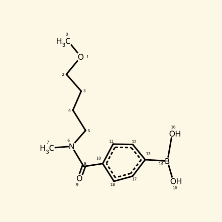 COCCCCN(C)C(=O)c1ccc(B(O)O)cc1